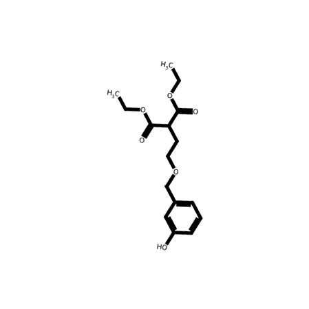 CCOC(=O)C(CCO[C]c1cccc(O)c1)C(=O)OCC